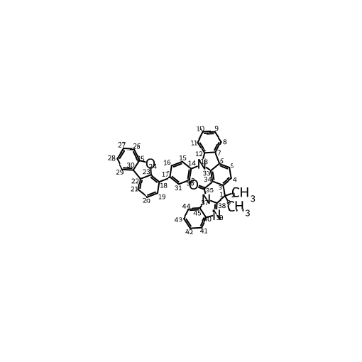 CC1(C)c2ccc3c4ccccc4n(-c4ccc(-c5cccc6c5oc5ccccc56)cc4)c3c2C(=O)n2c1nc1ccccc12